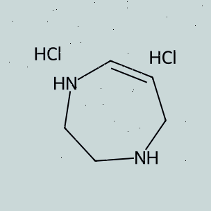 C1=CNCCNC1.Cl.Cl